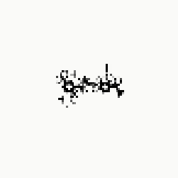 COc1ccc(C(=O)O)cc1-c1cnc(COc2ccc(C(=O)C3CC3)c(O)c2C)cn1